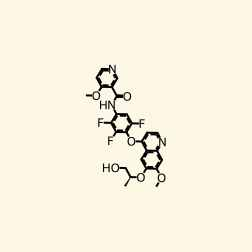 COc1cc2nccc(Oc3c(F)cc(NC(=O)c4cnccc4OC)c(F)c3F)c2cc1O[C@@H](C)CO